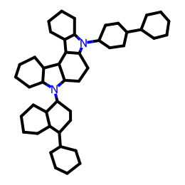 C1CCC(C2CCC(N3C4CCCCC4C4C5C6CCCCC6N(C6CCC(C7CCCCC7)C7CCCCC76)C5CCC43)CC2)CC1